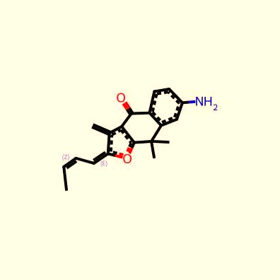 C=c1c2c(o/c1=C/C=C\C)C(C)(C)c1cc(N)ccc1C2=O